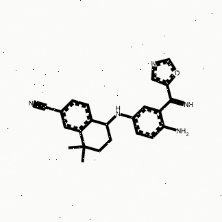 CC1(C)CCC(Nc2ccc(N)c(C(=N)c3cnco3)c2)c2ccc(C#N)cc21